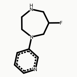 FC1CNCCN(c2cccnc2)C1